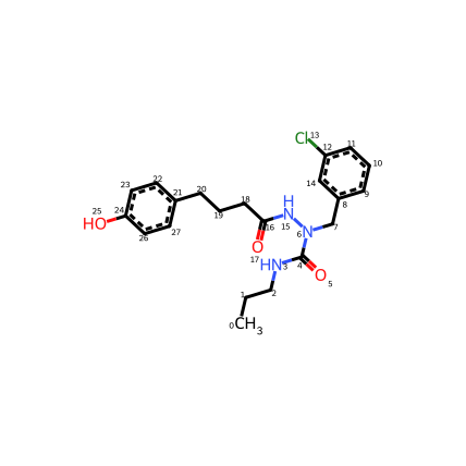 CCCNC(=O)N(Cc1cccc(Cl)c1)NC(=O)CCCc1ccc(O)cc1